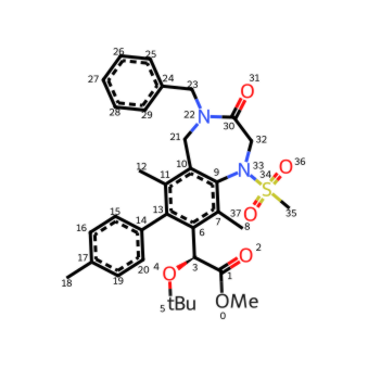 COC(=O)[C@@H](OC(C)(C)C)c1c(C)c2c(c(C)c1-c1ccc(C)cc1)CN(Cc1ccccc1)C(=O)CN2S(C)(=O)=O